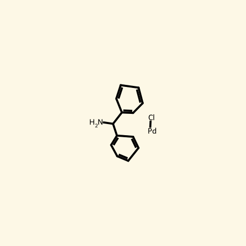 NC(c1ccccc1)c1ccccc1.[Cl][Pd]